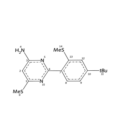 CSc1cc(N)nc(-c2ccc(C(C)(C)C)cc2SC)n1